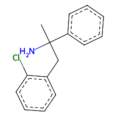 CC(N)(Cc1ccccc1Cl)c1ccccc1